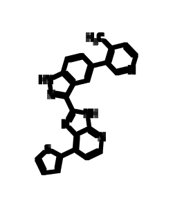 Cc1ccncc1-c1ccc2[nH]nc(-c3nc4c(-c5cccs5)ccnc4[nH]3)c2c1